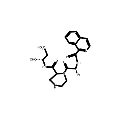 CC(C)[C@H](NC(=O)c1nccc2ccccc12)C(=O)N1CCNCC1C(=O)N[C@H](C=O)CC(=O)O